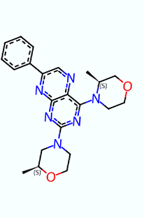 C[C@H]1CN(c2nc(N3CCOC[C@@H]3C)c3ncc(-c4ccccc4)nc3n2)CCO1